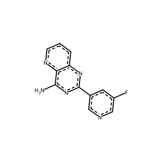 Nc1nc(-c2cncc(F)c2)nc2cccnc12